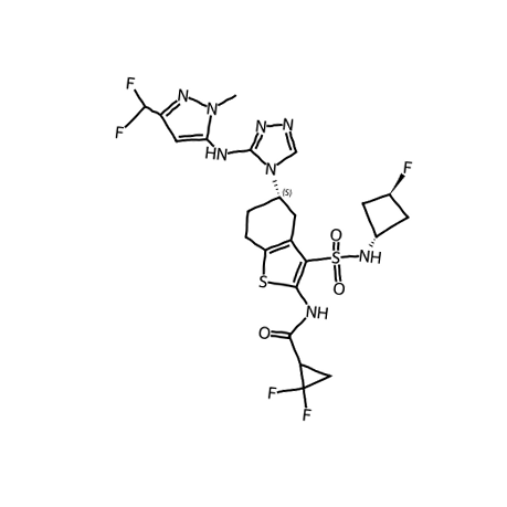 Cn1nc(C(F)F)cc1Nc1nncn1[C@H]1CCc2sc(NC(=O)C3CC3(F)F)c(S(=O)(=O)N[C@H]3C[C@H](F)C3)c2C1